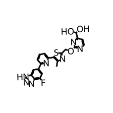 Cc1nc(COc2nccc(C(O)O)n2)sc1-c1cccc(-c2cc(F)c3nn[nH]c3c2)n1